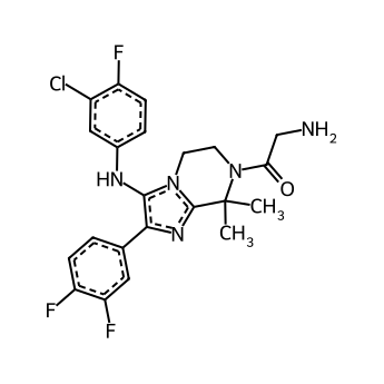 CC1(C)c2nc(-c3ccc(F)c(F)c3)c(Nc3ccc(F)c(Cl)c3)n2CCN1C(=O)CN